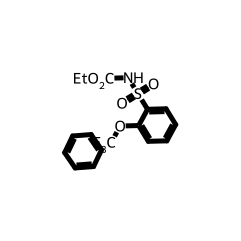 CCOC(=O)NS(=O)(=O)c1ccccc1OC(F)(F)F.c1ccccc1